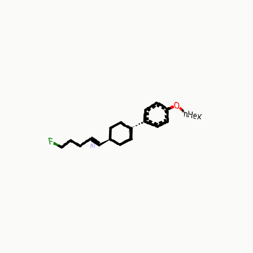 CCCCCCOc1ccc([C@H]2CC[C@H](/C=C/CCCF)CC2)cc1